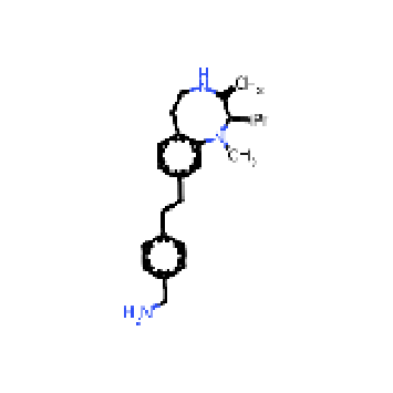 C=C1NCCc2ccc(CCc3ccc(CN)cc3)cc2N(C)C1C(C)C